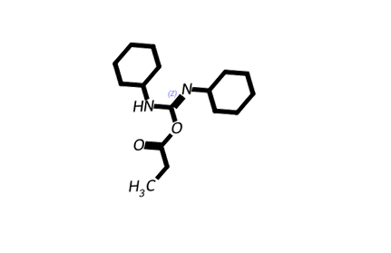 CCC(=O)O/C(=N\C1CCCCC1)NC1CCCCC1